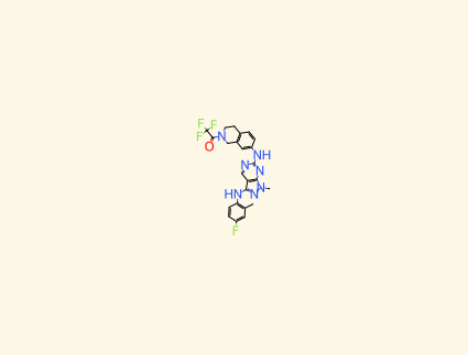 Cc1cc(F)ccc1Nc1nn(C)c2nc(Nc3ccc4c(c3)CN(C(=O)C(F)(F)F)CC4)ncc12